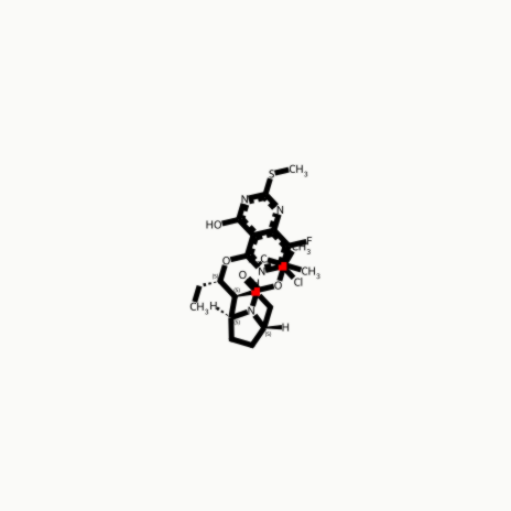 CC[C@H](Oc1nc(Cl)c(F)c2nc(SC)nc(O)c12)[C@H]1NC[C@@H]2CC[C@@H]1N2C(=O)OC(C)(C)C